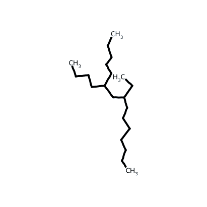 CCCCCCCC(CC)CC(CCCC)CCCCC